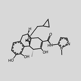 C[C@H]1C(O)=C(C(=O)Nc2ccnn2C)C[C@@]2(O)[C@H]3Cc4ccc(O)c(O)c4[C@@]12CCN3CC1CC1